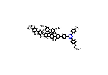 CCCCCCCCCCCCc1ccc(-c2nc(-c3ccc(C)cc3)nc(-c3ccc(-c4cc(C)c(C5=CC6[C@H](C=C5)c5ccc(-c7c(C)cc(-c8cc(CCCCCC)c(C)cc8CCCCCC)cc7C)cc5C6(c5ccc(CCCCCC)cc5)c5ccc(CCCCCC)cc5)c(C)c4)cc3)n2)cc1